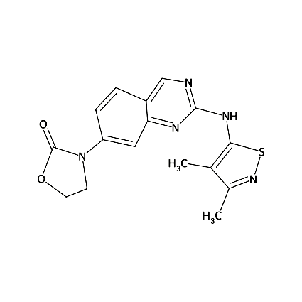 Cc1nsc(Nc2ncc3ccc(N4CCOC4=O)cc3n2)c1C